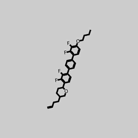 C=CCCC1CCC(c2ccc(-c3ccc(-c4ccc(OCCCC)c(F)c4F)cc3)c(F)c2F)OC1